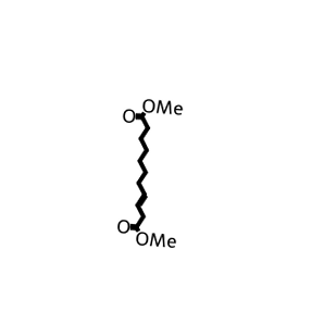 COC(=O)C/C=C/CCCCCCC(=O)OC